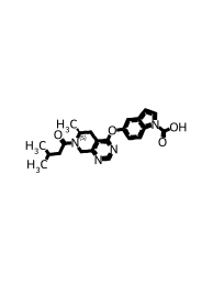 CC(C)CC(=O)N1Cc2ncnc(Oc3ccc4c(ccn4C(=O)O)c3)c2C[C@@H]1C